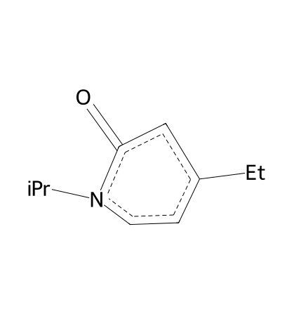 CCc1ccn(C(C)C)c(=O)c1